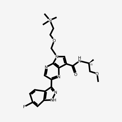 COC[C@H](C)NC(=O)c1cn(COCC[Si](C)(C)C)c2ncc(-c3n[nH]c4cc(F)ccc34)nc12